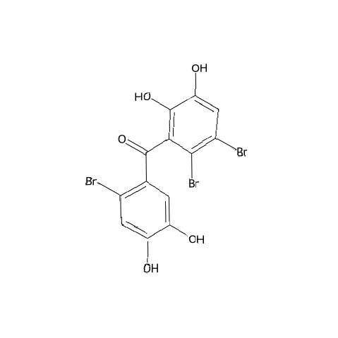 O=C(c1cc(O)c(O)cc1Br)c1c(O)c(O)cc(Br)c1Br